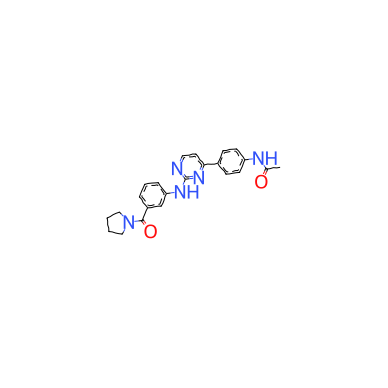 CC(=O)Nc1ccc(-c2ccnc(Nc3cccc(C(=O)N4CCCC4)c3)n2)cc1